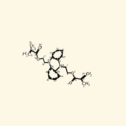 C=C(C)C(=O)OCCN1c2ccccc2N(CCOC(=O)C(=C)C)c2ccccc21